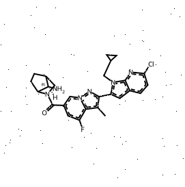 Cc1c(-c2cc3ccc(Cl)nc3n2CC2CC2)nn2cc(C(=O)N3CC4CCC3[C@@H]4N)cc(F)c12